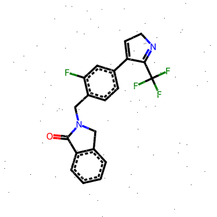 O=C1c2ccccc2CN1Cc1ccc(C2=CCN=C2C(F)(F)F)cc1F